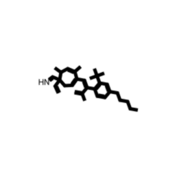 C=CC1(C=N)CC=C(/C=C(\C(=C)C)c2ccc(CCCCC)cc2C(C)(C)C)C(C)=CC1C